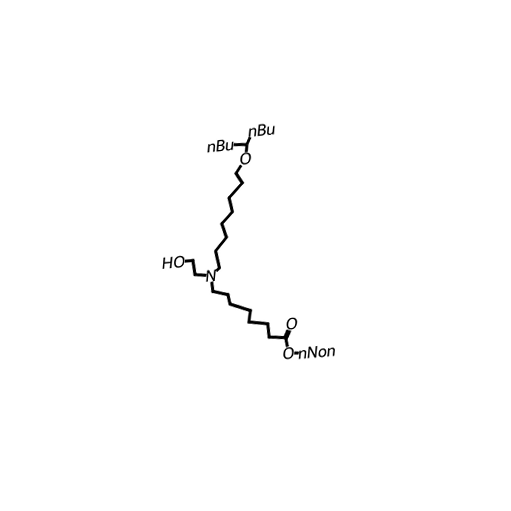 CCCCCCCCCOC(=O)CCCCCCCN(CCO)CCCCCCCCOC(CCCC)CCCC